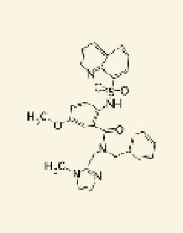 COc1ccc(NS(=O)(=O)c2cccc3cccnc23)c(C(=O)N(Cc2ccccc2)Cc2nccn2C)c1